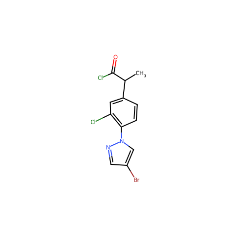 CC(C(=O)Cl)c1ccc(-n2cc(Br)cn2)c(Cl)c1